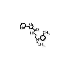 CCN(CCNC(=O)c1cc(-c2cccnc2)on1)c1cccc(C)c1